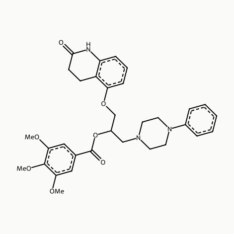 COc1cc(C(=O)OC(COc2cccc3c2CCC(=O)N3)CN2CCN(c3ccccc3)CC2)cc(OC)c1OC